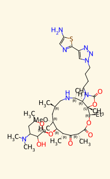 CC[C@H]1OC(=O)[C@H](C)C(=O)[C@H](C)[C@@H](O[C@@H]2OC(C)CC(N(C)C)C2O)[C@](C)(OC)C[C@@H](C)CN[C@H](C)[C@H]2N(CCCCn3cc(-c4ncc(N)s4)nn3)C(=O)O[C@]12C